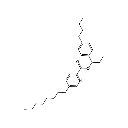 CCCCCCCCc1ccc(C(=O)OC(CC)c2ccc(CCCC)cc2)nc1